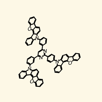 c1cc(-c2cc(-c3cccc(-n4c5ccccc5c5c6oc7ccccc7c6ccc54)c3)nc(-c3ccc(-n4c5ccccc5c5c6oc7ccccc7c6ccc54)cc3)n2)cc(-n2c3ccccc3c3c4oc5ccccc5c4ccc32)c1